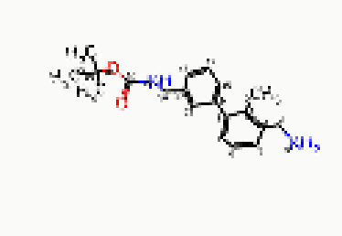 Cc1c(CN)cccc1-c1cccc(CNC(=O)OC(C)(C)C)c1